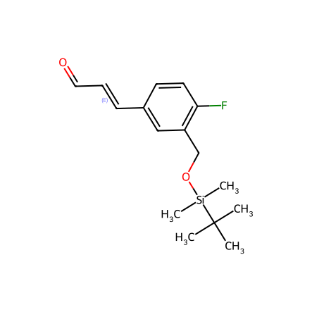 CC(C)(C)[Si](C)(C)OCc1cc(/C=C/C=O)ccc1F